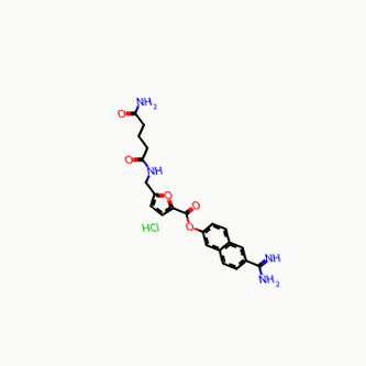 Cl.N=C(N)c1ccc2cc(OC(=O)c3ccc(CNC(=O)CCCC(N)=O)o3)ccc2c1